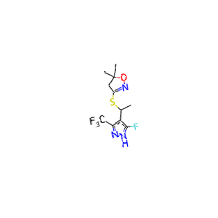 CC(SC1=NOC(C)(C)C1)c1c(C(F)(F)F)n[nH]c1F